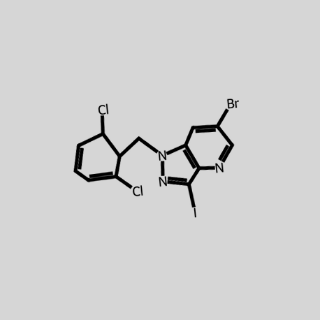 ClC1=CC=CC(Cl)C1Cn1nc(I)c2ncc(Br)cc21